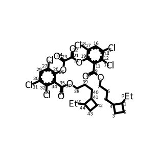 CCC1CCC1CCCOC(=O)c1c(Cl)c(Cl)cc(Cl)c1OC(=O)C(=O)Oc1c(Cl)cc(Cl)c(Cl)c1C(=O)OCCCC1CCC1CC